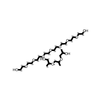 CC(O)COC(C)COC(C)CO.OCCOCCOCCOCCOCCOCCOCCOCCO